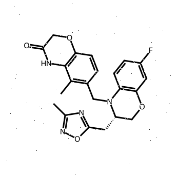 Cc1noc(C[C@H]2COc3cc(F)ccc3N2Cc2ccc3c(c2C)NC(=O)CO3)n1